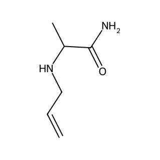 C=CCNC(C)C(N)=O